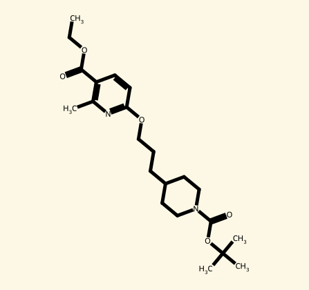 CCOC(=O)c1ccc(OCCCC2CCN(C(=O)OC(C)(C)C)CC2)nc1C